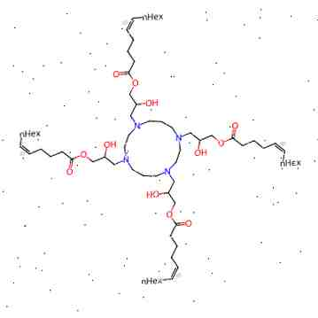 CCCCCC/C=C\CCCC(=O)OCC(O)CN1CCCN(CC(O)COC(=O)CCC/C=C\CCCCCC)CCN(CC(O)COC(=O)CCC/C=C\CCCCCC)CCCN(CC(O)COC(=O)CCC/C=C\CCCCCC)CC1